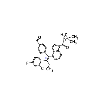 CC/C(=C(/c1ccc(C=O)cc1)c1cccc2c1ccn2C(=O)OC(C)(C)C)c1ccc(F)cc1Cl